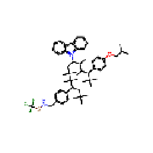 CC(C)COc1ccc(C(C(C)C(C)C(CC(C)(C)C(C)(C)C(CC(C)(C)C)c2ccc(CNSC(F)(F)F)cc2)n2c3ccccc3c3ccccc32)C(C)(C)C)cc1